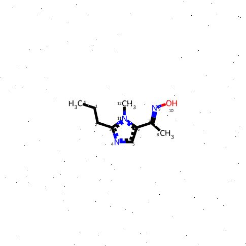 CCCc1ncc(C(C)=NO)n1C